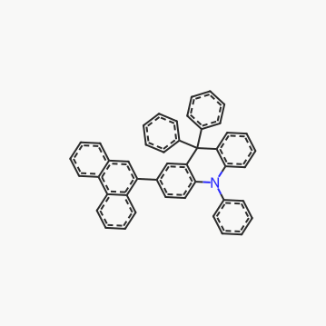 c1ccc(N2c3ccccc3C(c3ccccc3)(c3ccccc3)c3cc(-c4cc5ccccc5c5ccccc45)ccc32)cc1